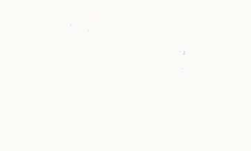 COC(CCC(N)=O)c1ccc2[nH]nc(-c3ccc(F)cc3)c2c1